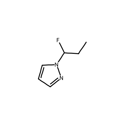 CCC(F)n1cccn1